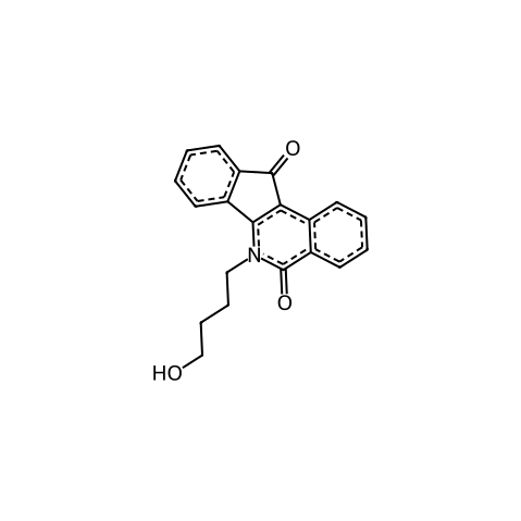 O=C1c2ccccc2-c2c1c1ccccc1c(=O)n2CCCCO